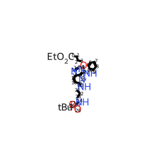 CCOC(=O)CCCOc1ccccc1Nc1ncnc2ccc(NCCCNC(=O)OC(C)(C)C)nc12